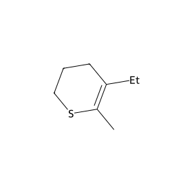 CCC1=C(C)SCCC1